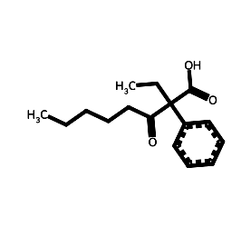 CCCCCC(=O)C(CC)(C(=O)O)c1ccccc1